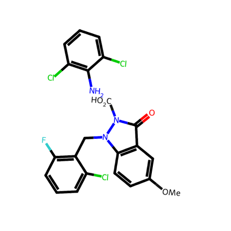 COc1ccc2c(c1)c(=O)n(C(=O)O)n2Cc1c(F)cccc1Cl.Nc1c(Cl)cccc1Cl